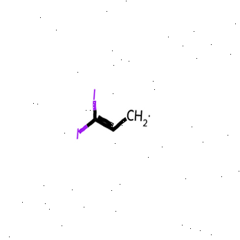 [CH2]C=C(I)I